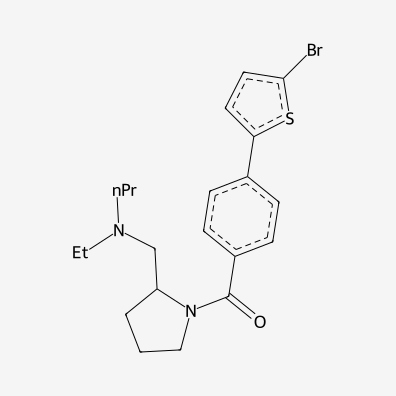 CCCN(CC)CC1CCCN1C(=O)c1ccc(-c2ccc(Br)s2)cc1